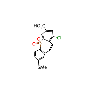 CSc1ccc2c(c1)C=Cc1c(Cl)cc(C(=O)O)cc1S2(=O)=O